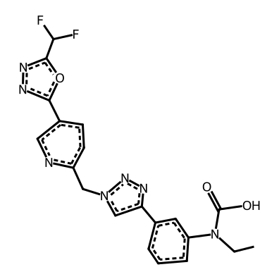 CCN(C(=O)O)c1cccc(-c2cn(Cc3ccc(-c4nnc(C(F)F)o4)cn3)nn2)c1